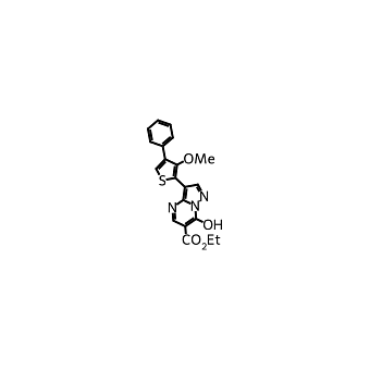 CCOC(=O)c1cnc2c(-c3scc(-c4ccccc4)c3OC)cnn2c1O